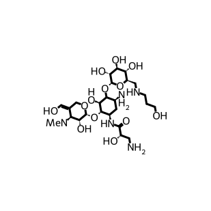 CN[C@H]1/C(=C\O)CO[C@H](O[C@H]2[C@H](NC(=O)[C@@H](O)CN)C[C@H](N)C(O[C@H]3O[C@H](CNCCCO)[C@@H](O)[C@H](O)[C@H]3O)[C@@H]2O)[C@@H]1O